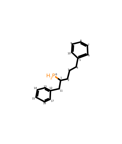 PC(CCCc1ccccc1)Cc1ccccc1